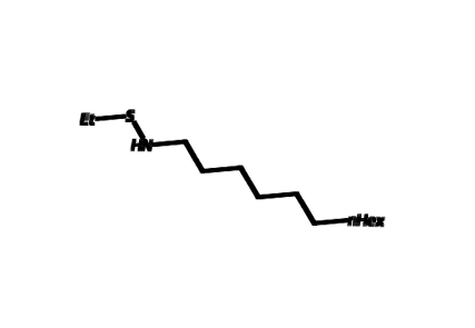 CCCCCCCCCCCCNSCC